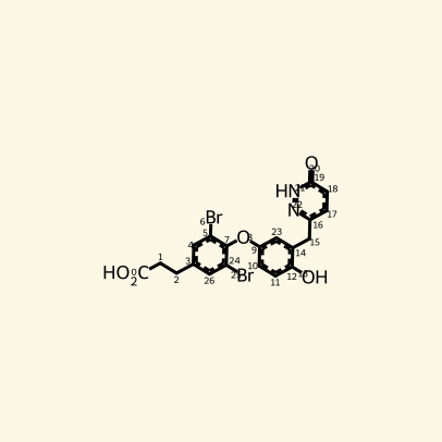 O=C(O)CCc1cc(Br)c(Oc2ccc(O)c(Cc3ccc(=O)[nH]n3)c2)c(Br)c1